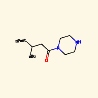 CCCCCC(CCCC)CC(=O)N1CCNCC1